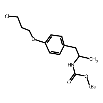 CC(Cc1ccc(OCCCCl)cc1)NC(=O)OC(C)(C)C